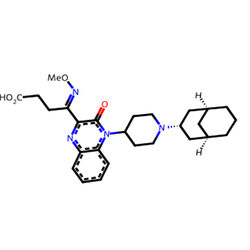 CO/N=C(\CCC(=O)O)c1nc2ccccc2n(C2CCN([C@H]3C[C@@H]4CCC[C@@H](C4)C3)CC2)c1=O